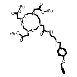 C#CCOc1ccc(CNCCNC(=O)CN2CCN(CC(=O)OC(C)(C)C)CCN(CC(=O)OC(C)(C)C)CCN(CC(=O)OC(C)(C)C)CC2)cc1